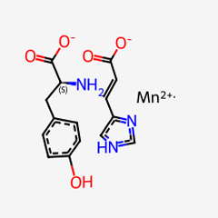 N[C@@H](Cc1ccc(O)cc1)C(=O)[O-].O=C([O-])C=Cc1c[nH]cn1.[Mn+2]